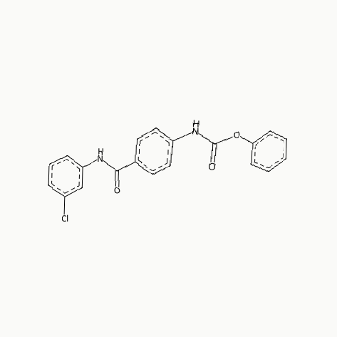 O=C(Nc1ccc(C(=O)Nc2cccc(Cl)c2)cc1)Oc1ccccc1